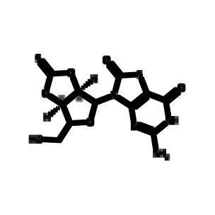 Nc1nc2c(sc(=O)n2C2OC(CO)[C@H]3OC(=S)O[C@@H]23)c(=O)[nH]1